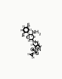 NC1CC(N2Cc3cnn(S(=O)(=O)C4CC4)c3C2)CO[C@@H]1c1cc(F)ccc1F